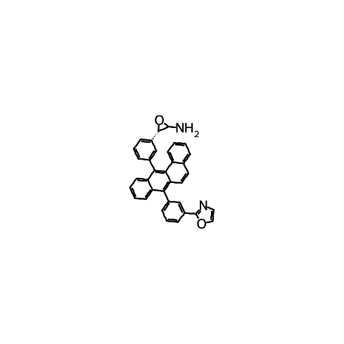 NC1O[C@H]1c1cccc(-c2c3ccccc3c(-c3cccc(-c4ncco4)c3)c3ccc4ccccc4c23)c1